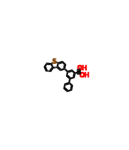 OB(O)c1cc(-c2ccccc2)cc(-c2ccc3sc4ccccc4c3c2)c1